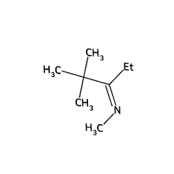 CCC(=NC)C(C)(C)C